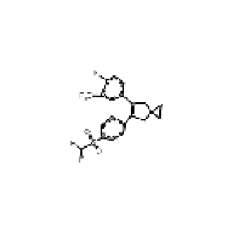 O=S(=O)(c1ccc(C2=C(c3ccc(F)c(C(F)(F)F)c3)CC3(CC3)C2)cc1)C(F)F